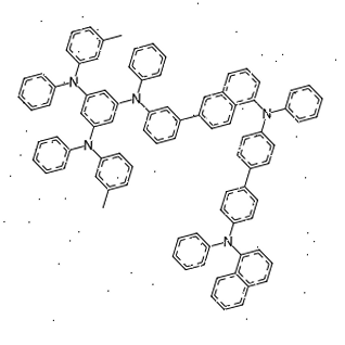 Cc1cccc(N(c2ccccc2)c2cc(N(c3ccccc3)c3cccc(C)c3)cc(N(c3ccccc3)c3cccc(-c4ccc5c(N(c6ccccc6)c6ccc(-c7ccc(N(c8ccccc8)c8cccc9ccccc89)cc7)cc6)cccc5c4)c3)c2)c1